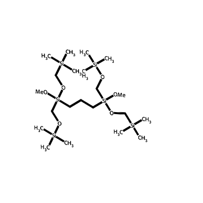 CO[Si](CCC[Si](CO[Si](C)(C)C)(OC)OC[Si](C)(C)C)(CO[Si](C)(C)C)OC[Si](C)(C)C